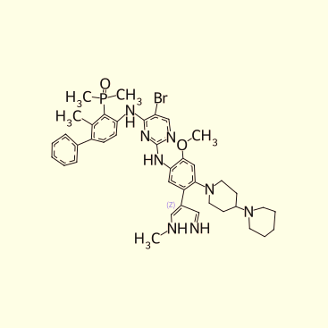 CN/C=C(\C=N)c1cc(Nc2ncc(Br)c(Nc3ccc(-c4ccccc4)c(C)c3P(C)(C)=O)n2)c(OC)cc1N1CCC(N2CCCCC2)CC1